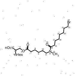 CCCCCCCCC(CCCCCC)COC(=O)CCCCCN(C)C(=O)CCCCCCCBr